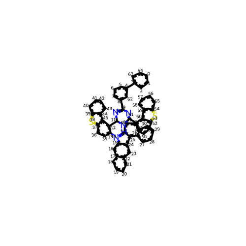 c1ccc(-c2cccc(C3=NC(c4c(-n5c6cc7ccccc7cc6c6c7ccccc7ccc65)ccc5sc6ccccc6c45)NC(c4cccc5sc6ccccc6c45)=N3)c2)cc1